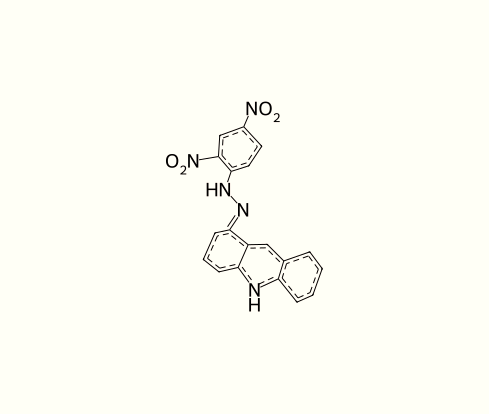 O=[N+]([O-])c1ccc(NN=c2cccc3[nH]c4ccccc4cc2-3)c([N+](=O)[O-])c1